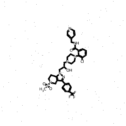 CS(=O)(=O)N1CCc2c(c(-c3ccc(C(F)(F)F)cc3)nn2CC(O)CN2CCN(c3c(Cl)cccc3C(=O)NCc3ccncc3)CC2)C1